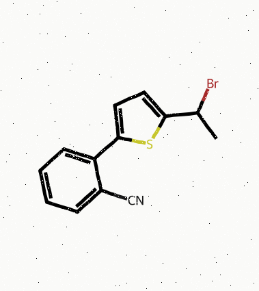 CC(Br)c1ccc(-c2ccccc2C#N)s1